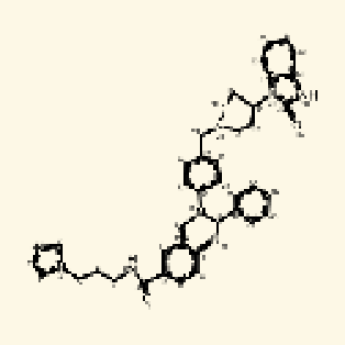 O=C(NCCCn1ccnc1)c1ccc2c(c1)=CN(c1ccc(CN3CCC(n4c(=O)[nH]c5ccccc54)CC3)cc1)C(c1ccccc1)N=2